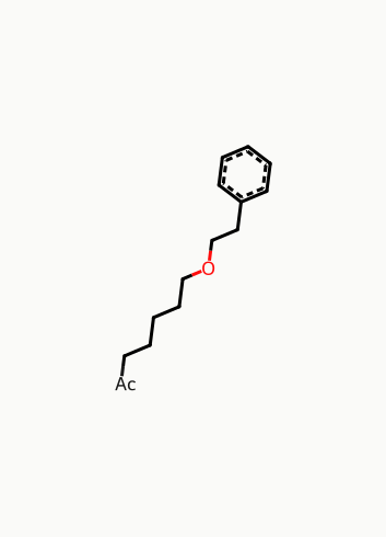 CC(=O)CCCCCOCCc1ccccc1